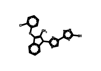 CC1=C(Oc2ccccc2Cl)c2ccccc2C1c1nc(-c2nnc(S)s2)cs1